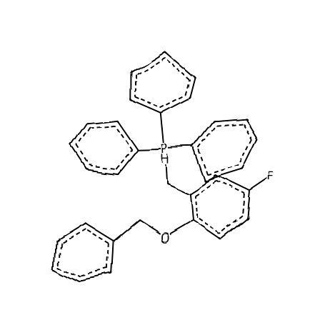 Fc1ccc(OCc2ccccc2)c(C[PH](c2ccccc2)(c2ccccc2)c2ccccc2)c1